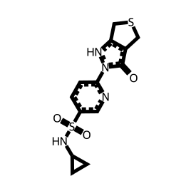 O=c1c2c([nH]n1-c1ccc(S(=O)(=O)NC3CC3)cn1)CSC2